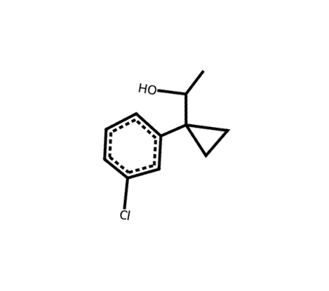 CC(O)C1(c2cccc(Cl)c2)CC1